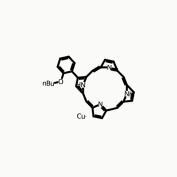 CCCCOc1ccccc1-c1cc2cc3nc(cc4ccc(cc5nc(cc1[nH]2)C=C5)[nH]4)C=C3.[Cu]